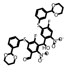 O=Cc1cc(Sc2cccc(C3OCCCO3)c2)c(F)c(C(O)c2cc(Sc3cccc(C4OCCCO4)c3)c(F)cc2[N+](=O)[O-])c1[N+](=O)[O-]